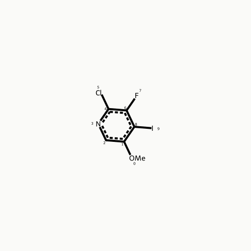 COc1cnc(Cl)c(F)c1I